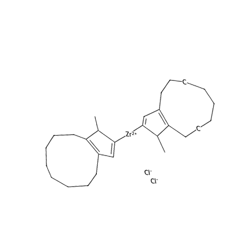 CC1[C]([Zr+2][C]2=CC3=C(CCCCCCCC3)C2C)=CC2=C1CCCCCCCC2.[Cl-].[Cl-]